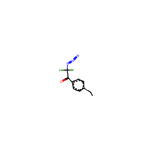 CCc1ccc(C(=O)C(F)(F)N=[N+]=[N-])cc1